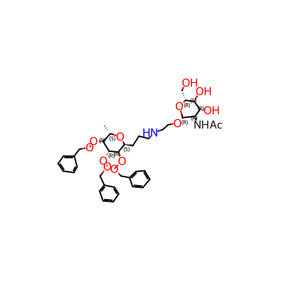 CC(=O)N[C@H]1[C@H](OCCNCCC[C@@H]2O[C@@H](C)[C@@H](OOCc3ccccc3)[C@@H](OOCc3ccccc3)[C@@H]2OOCc2ccccc2)O[C@H](CO)[C@@H](O)[C@@H]1O